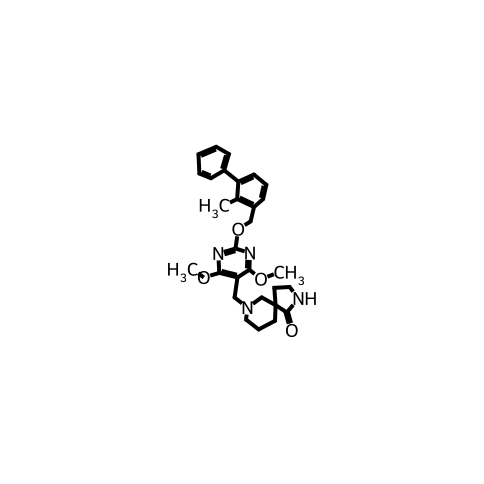 COc1nc(OCc2cccc(-c3ccccc3)c2C)nc(OC)c1CN1CCCC2(CCNC2=O)C1